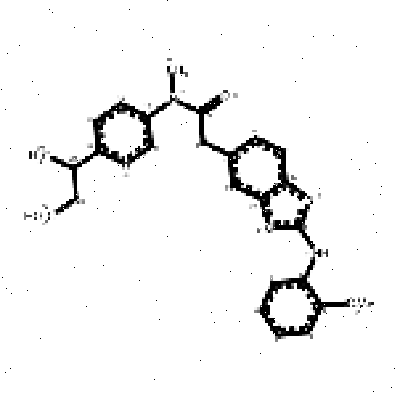 COc1ccccc1Nc1nc2ccc(CC(=O)N(C)c3ccc(C(C)CC(=O)O)nc3)cc2o1